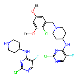 CCOc1cc(CN2CCC(Nc3nc(Cl)ncc3F)CC2)c(Cl)c(OCC)c1.Fc1cnc(Cl)nc1NC1CCNCC1